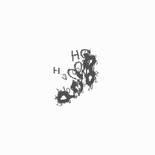 CC(O)C(N1CCN(Cc2ccccc2)CC1)n1c2ccccc2c2ccc(O)cc21